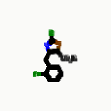 CCOC(=O)c1sc(Br)nc1Cc1ccccc1Cl